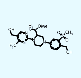 CO[C@H](C)C1CN(c2ccc(CO)c(S(C)(=O)=O)c2)CCN1c1ncc(CO)c(C(F)(F)F)n1